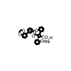 COc1ccccc1C1C(C(=O)Oc2cccc(-c3cccc4c3OCCO4)c2)[C@@H](c2ccccc2OC)[C@H]1C(=O)O